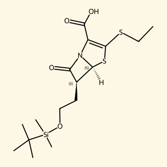 CCSC1=C(C(=O)O)N2C(=O)[C@H](CCO[Si](C)(C)C(C)(C)C)[C@@H]2S1